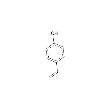 C=Cc1[c]cc(O)cc1